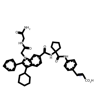 NC(=O)CNC(=O)Cn1c(-c2ccccc2)c(C2CCCCC2)c2ccc(C(=O)NC3(C(=O)Nc4ccc(/C=C/C(=O)O)cc4)CCCC3)cc21